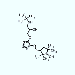 CC(C)(C)NCC(O)COc1nsnc1OCC1CC(C)(C)N(O)C1(C)C